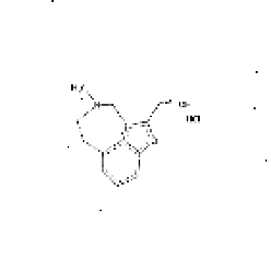 CN1CCc2cccc3oc(CO)c(c23)C1.Cl